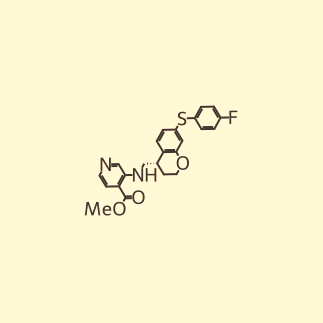 COC(=O)c1ccncc1NC[C@H]1CCOc2cc(Sc3ccc(F)cc3)ccc21